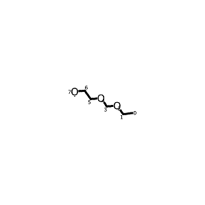 CCOCOCC[O]